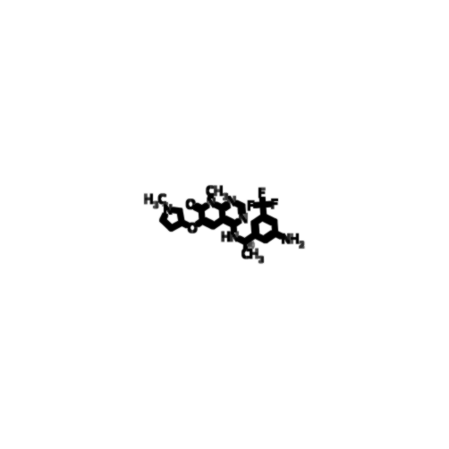 C[C@@H](Nc1ncnc2c1cc(OC1CCN(C)C1)c(=O)n2C)c1cc(N)cc(C(F)(F)F)c1